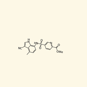 COC(=O)c1ccc(S(=O)(=O)Nc2ccc(C)c3c(C#N)c[nH]c23)cn1